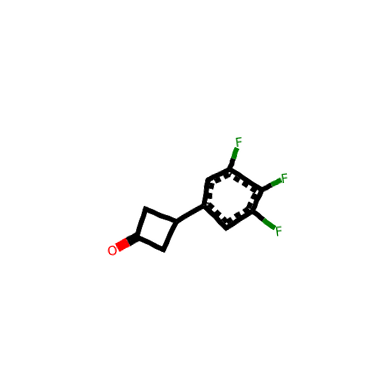 O=C1CC(c2cc(F)c(F)c(F)c2)C1